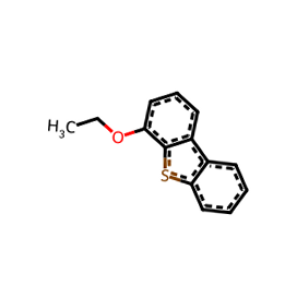 CCOc1cccc2c1sc1ccccc12